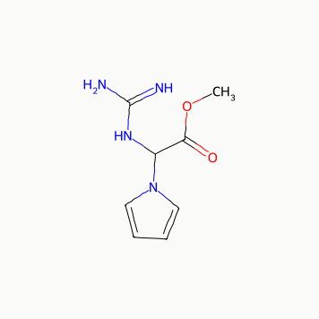 COC(=O)C(NC(=N)N)n1cccc1